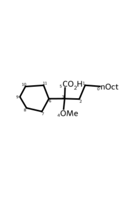 CCCCCCCCCCC(OC)(C(=O)O)C1CCCCC1